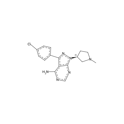 CN1CC[C@H](n2nc(-c3ccc(Cl)cc3)c3c(N)ncnc32)C1